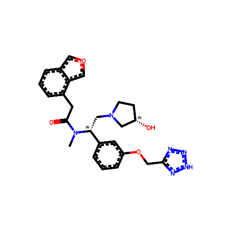 CN(C(=O)Cc1cccc2cocc12)[C@H](CN1CC[C@H](O)C1)c1cccc(OCc2nn[nH]n2)c1